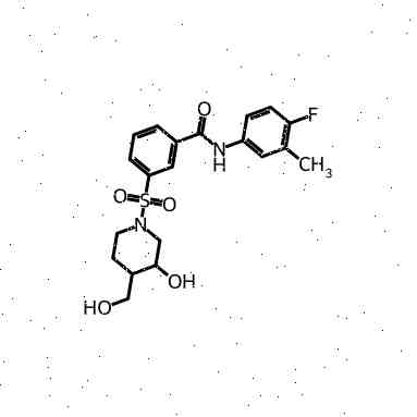 Cc1cc(NC(=O)c2cccc(S(=O)(=O)N3CCC(CO)C(O)C3)c2)ccc1F